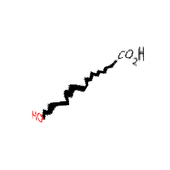 O=C(O)CCCCCCCCCCC=CCCCCCO